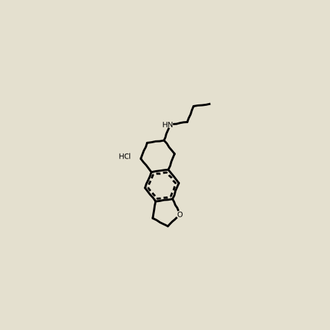 CCCNC1CCc2cc3c(cc2C1)OCC3.Cl